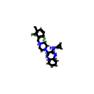 Cc1ccc(F)c(CN2CCN(c3nc4ccccc4nc3NC3CC3)CC2)c1F